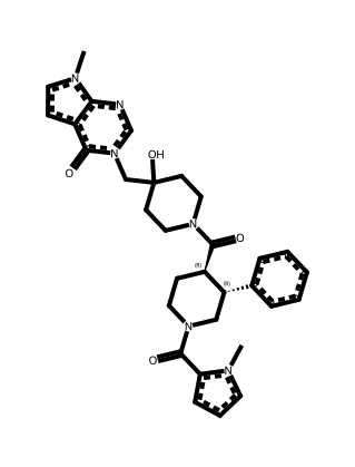 Cn1cccc1C(=O)N1CC[C@@H](C(=O)N2CCC(O)(Cn3cnc4c(ccn4C)c3=O)CC2)[C@H](c2ccccc2)C1